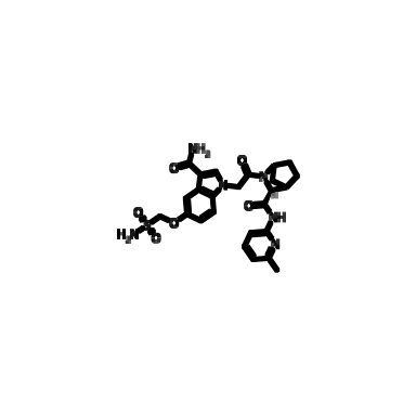 Cc1cccc(NC(=O)[C@@H]2C3CCC(C3)N2C(=O)Cn2cc(C(N)=O)c3cc(OCS(N)(=O)=O)ccc32)n1